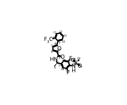 C[C@@H](NC(=O)c1ccc(-c2ccccc2C(F)(F)F)o1)c1cc(F)c(NS(C)(=O)=O)c(F)c1